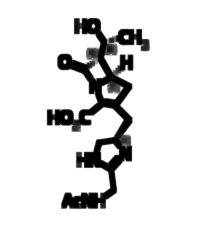 CC(=O)NCC1=N[C@H](CC2=C(C(=O)O)N3C(=O)[C@H]([C@@H](C)O)[C@H]3C2)CN1